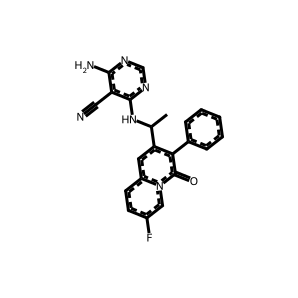 CC(Nc1ncnc(N)c1C#N)c1cc2ccc(F)cn2c(=O)c1-c1ccccc1